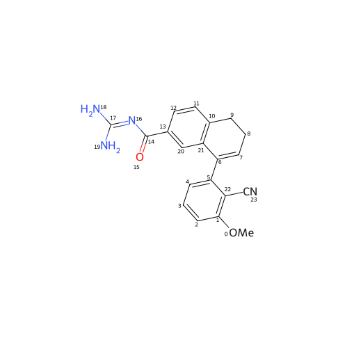 COc1cccc(C2=CCCc3ccc(C(=O)N=C(N)N)cc32)c1C#N